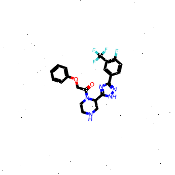 O=C(COc1ccccc1)N1CCNCC1c1nc(-c2ccc(F)c(C(F)(F)F)c2)n[nH]1